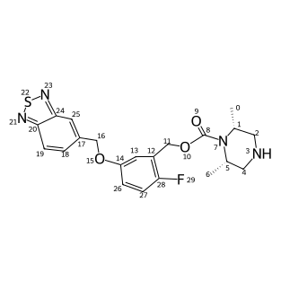 C[C@@H]1CNC[C@H](C)N1C(=O)OCc1cc(OCc2ccc3nsnc3c2)ccc1F